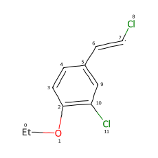 CCOc1ccc(C=[C]Cl)cc1Cl